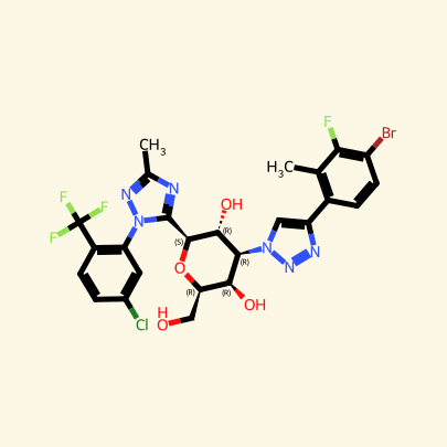 Cc1nc([C@@H]2O[C@H](CO)[C@H](O)[C@H](n3cc(-c4ccc(Br)c(F)c4C)nn3)[C@H]2O)n(-c2cc(Cl)ccc2C(F)(F)F)n1